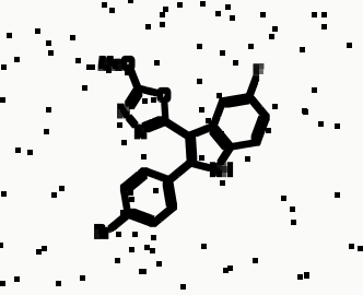 COc1nnc(-c2c(-c3ccc(Br)cc3)[nH]c3ccc(F)cc23)o1